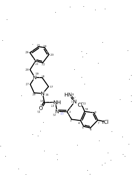 N=N/C(Cc1ccc(Cl)cc1Cl)=N\NC(=O)N1CCN(Cc2ccccc2)CC1